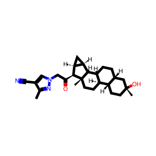 Cc1nn(CC(=O)[C@H]2[C@H]3C[C@H]3[C@H]3[C@@H]4CC[C@@H]5C[C@](C)(O)CC[C@@H]5[C@H]4CC[C@@]32C)cc1C#N